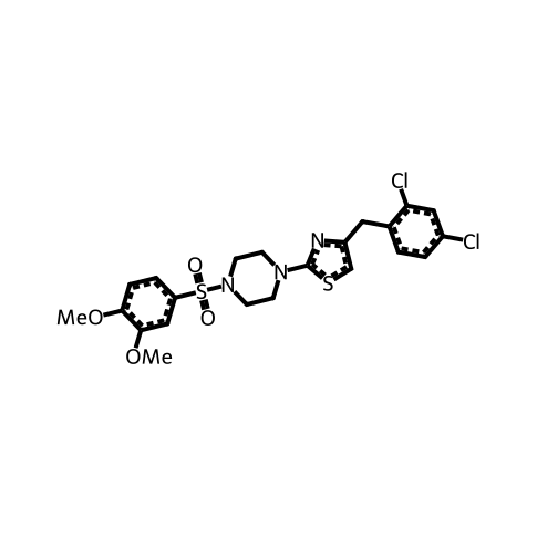 COc1ccc(S(=O)(=O)N2CCN(c3nc(Cc4ccc(Cl)cc4Cl)cs3)CC2)cc1OC